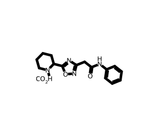 O=C(Cc1noc(C2CCCCN2C(=O)O)n1)Nc1ccccc1